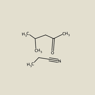 CC(=O)CC(C)C.CCC#N